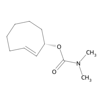 CN(C)C(=O)O[C@@H]1/C=C/CCCCC1